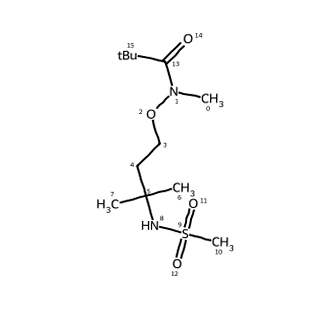 CN(OCCC(C)(C)NS(C)(=O)=O)C(=O)C(C)(C)C